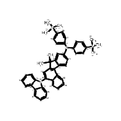 CC1(C)c2cc(N(c3ccc([Si](C)(C)C)cc3)c3ccc([Si](C)(C)C)cc3)ccc2-c2c1cc(-n1c3ccccc3c3ccccc31)c1ccccc21